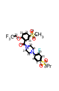 CC(C)S(=O)(=O)c1ccc(N2CCN(C(=O)c3cc(S(C)(=O)=O)ccc3OCC(F)(F)F)CC2)c(F)c1